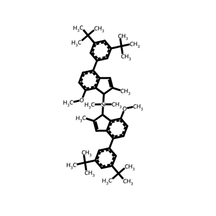 COc1ccc(-c2cc(C(C)(C)C)cc(C(C)(C)C)c2)c2c1C([Si](C)(C)C1C(C)=Cc3c(-c4cc(C(C)(C)C)cc(C(C)(C)C)c4)ccc(OC)c31)C(C)=C2